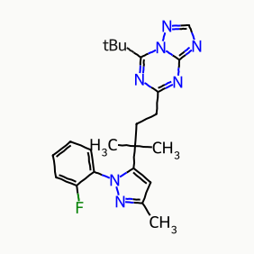 Cc1cc(C(C)(C)CCc2nc(C(C)(C)C)n3ncnc3n2)n(-c2ccccc2F)n1